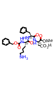 COC(=O)[C@H](CC(=O)O)NC(=O)[C@H](Cc1ccccc1)NC(=O)[C@H](CCCCN)NC(=O)OCc1ccccc1